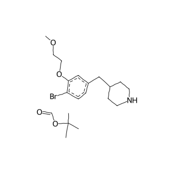 CC(C)(C)OC=O.COCCOc1cc(CC2CCNCC2)ccc1Br